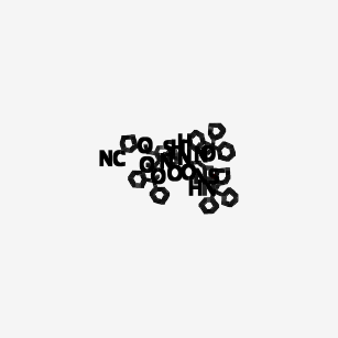 N#Cc1cccc(OCC2=C(C(=O)OC(c3ccccc3)c3ccccc3)N3C(=O)C(NC(=O)C(=NOC(c4ccccc4)(c4ccccc4)c4ccccc4)c4csc(NC(c5ccccc5)(c5ccccc5)c5ccccc5)n4)[C@@H]3SC2)c1